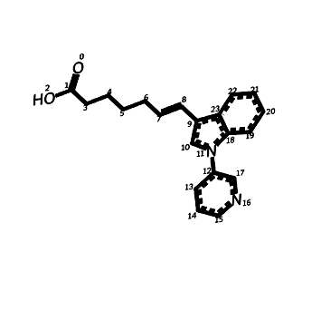 O=C(O)CCCC/C=C/c1cn(-c2cccnc2)c2ccccc12